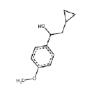 COc1ccc(C(O)CC2CC2)cc1